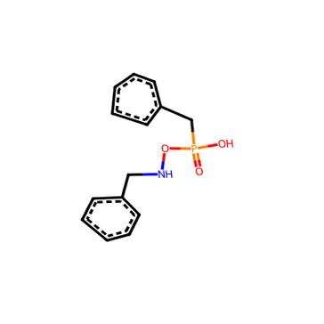 O=P(O)(Cc1ccccc1)ONCc1ccccc1